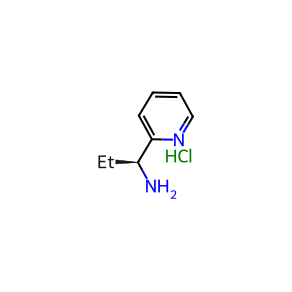 CC[C@H](N)c1ccccn1.Cl